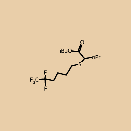 CCCC(SCCCCC(F)(F)C(F)(F)F)C(=O)OCC(C)C